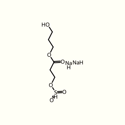 O=C(CCO[SH](=O)=O)OCCCO.[NaH].[NaH]